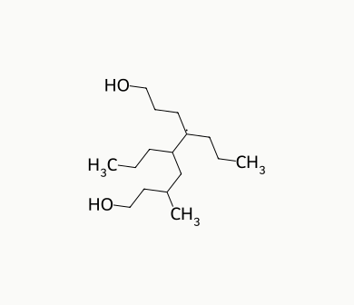 CCC[C](CCCO)C(CCC)CC(C)CCO